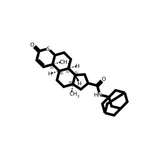 C[C@]12CC[C@@H]3[C@@H](CCC4SC(=O)C=C[C@@]43C)[C@@H]1CC(C(=O)NC13CC4CC(CC(C4)C1)C3)C2